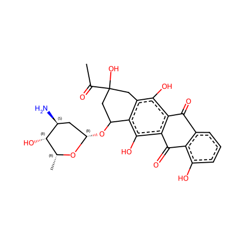 CC(=O)C1(O)Cc2c(O)c3c(c(O)c2C(O[C@H]2C[C@H](N)[C@@H](O)[C@@H](C)O2)C1)C(=O)c1c(O)cccc1C3=O